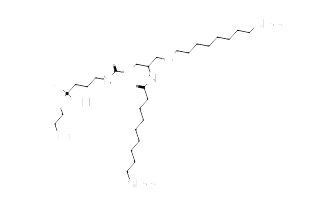 CCCCCCCCCCCCCCCCCCOCC(COC(=O)NCCCC(C)(C)OCCC(C)C)NC(=O)CCCCCCCCCCCCCCCCCC